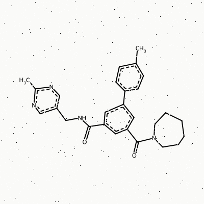 Cc1ccc(-c2cc(C(=O)NCc3cnc(C)nc3)cc(C(=O)N3CCCCCC3)c2)cc1